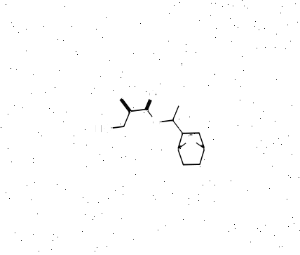 C=C(CO)C(=O)OC(C)C1CC2CCC1O2